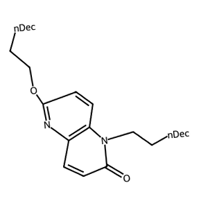 CCCCCCCCCCCCOc1ccc2c(ccc(=O)n2CCCCCCCCCCCC)n1